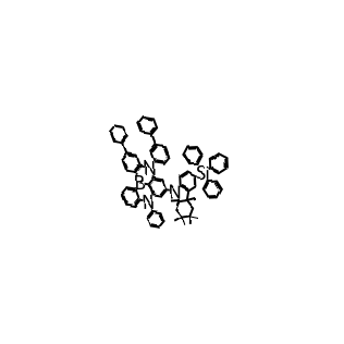 CC1(C)CC2(C)c3cc([Si](c4ccccc4)(c4ccccc4)c4ccccc4)ccc3N(c3cc4c5c(c3)N(c3cccc(-c6ccccc6)c3)c3cc(-c6ccccc6)ccc3B5c3ccccc3N4c3ccccc3)C2(C)CC1(C)C